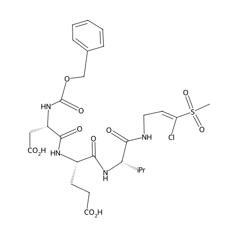 CC(C)[C@H](NC(=O)[C@H](CCC(=O)O)NC(=O)[C@H](CC(=O)O)NC(=O)OCc1ccccc1)C(=O)NC/C=C(\Cl)S(C)(=O)=O